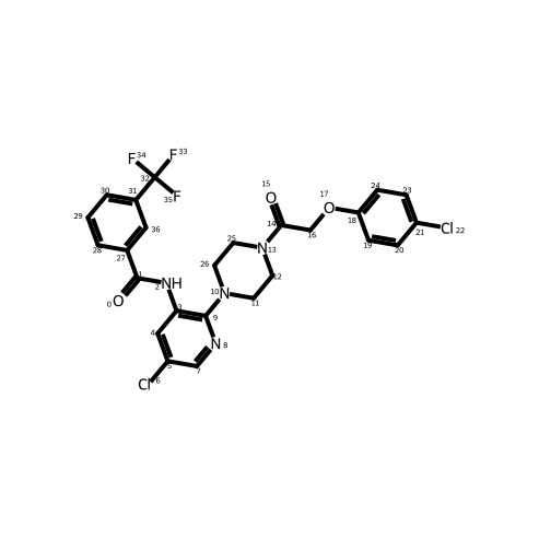 O=C(Nc1cc(Cl)cnc1N1CCN(C(=O)COc2ccc(Cl)cc2)CC1)c1cccc(C(F)(F)F)c1